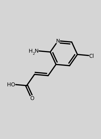 Nc1ncc(Cl)cc1C=CC(=O)O